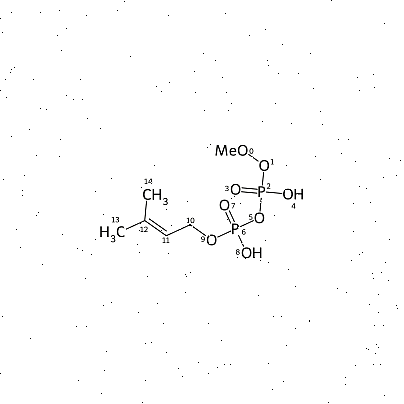 COOP(=O)(O)OP(=O)(O)OCC=C(C)C